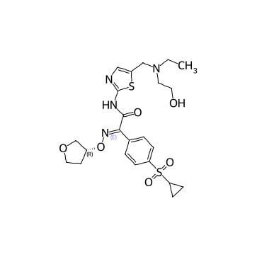 CCN(CCO)Cc1cnc(NC(=O)/C(=N/O[C@@H]2CCOC2)c2ccc(S(=O)(=O)C3CC3)cc2)s1